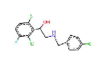 OC(CNCc1ccc(Cl)cc1)c1c(Cl)ccc(F)c1Cl